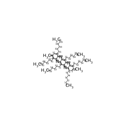 CCCCCCc1cc(C)c(CCCCCC)c2nc3c(CCCCCC)c4nc5c(CCCCCC)cc(C)c(CCCCCC)c5nc4c(CCCCCC)c3nc12